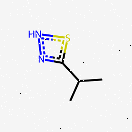 CC(C)c1n[nH]s1